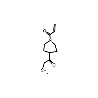 C=CC(=O)N1CCC(C(=O)CN)CC1